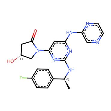 C[C@H](Nc1nc(Nc2cnccn2)cc(N2C[C@H](O)CC2=O)n1)c1ccc(F)cc1